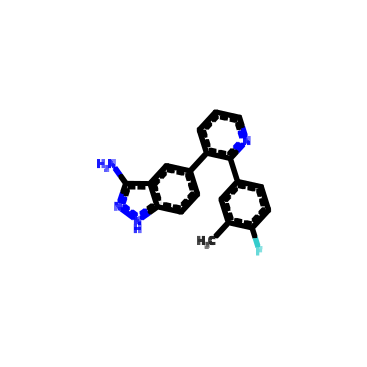 Cc1cc(-c2ncccc2-c2ccc3[nH]nc(N)c3c2)ccc1F